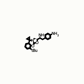 CC(C)(C)c1cccc(C2(N3C[C@H]([C@@H](N)Cc4ccc(N)cc4)OC3=O)CC2)c1